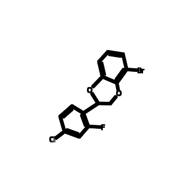 Fc1cc(Cl)ccc1C1COc2c(Br)cccc2O1